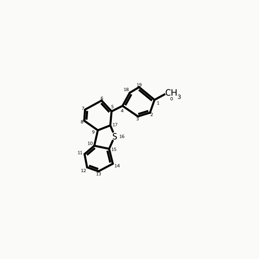 Cc1ccc(C2=CC=CC3c4ccccc4SC23)cc1